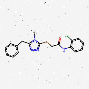 CCn1c(Cc2ccccc2)nnc1SCC(=O)Nc1ccccc1Cl